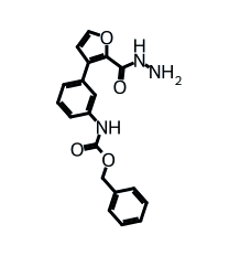 NNC(=O)c1occc1-c1cccc(NC(=O)OCc2ccccc2)c1